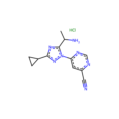 CC(N)c1nc(C2CC2)nn1-c1cc(C#N)ncn1.Cl